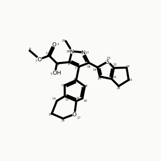 COC(=O)C(O)c1c(-c2ccc3c(c2)CCCO3)c(-c2cc3c(s2)CCC3)nn1C